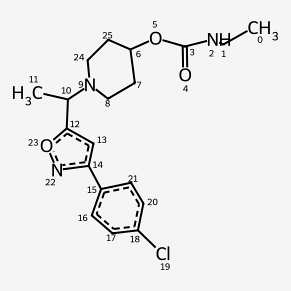 CCNC(=O)OC1CCN(C(C)c2cc(-c3ccc(Cl)cc3)no2)CC1